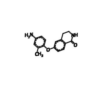 Cc1cc(N)ccc1Oc1ccc2c(c1)CCNC2=O